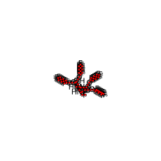 Fc1ccc(Nc2nc(Nc3ccc(OCCOCCC(F)(F)C(F)(F)C(F)(F)C(F)(F)C(F)(F)C(F)(F)F)c(OCCOCCC(F)(F)C(F)(F)C(F)(F)C(F)(F)C(F)(F)C(F)(F)F)c3)nc(Nc3ccc(OCCOCCC(F)(F)C(F)(F)C(F)(F)C(F)(F)C(F)(F)C(F)(F)F)c(OCCOCCC(F)(F)C(F)(F)C(F)(F)C(F)(F)C(F)(F)C(F)(F)F)c3)n2)cc1F